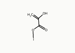 C=C(O)C(=O)OI